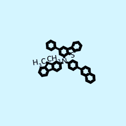 CC1(C)c2ccccc2-c2ccc(N(c3ccc(-c4ccc5ccccc5c4)cc3)c3cc(-c4ccccc4)cc4c3sc3ccccc34)cc21